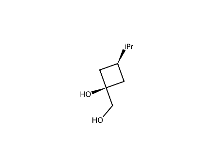 CC(C)[C@H]1C[C@](O)(CO)C1